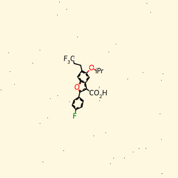 CC(C)Oc1cc2c(C(=O)O)c(-c3ccc(F)cc3)oc2cc1CCC(F)(F)F